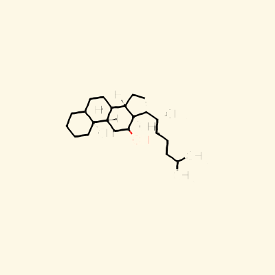 CC(C)CCC[C@@H](C)[C@H]1CC[C@H]2[C@@H]3CCC4CCCC[C@]4(C)[C@H]3CC(O)[C@]12C